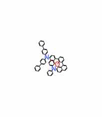 c1ccc(-c2ccc(N(c3ccc(-c4ccccc4)cc3)c3ccc(-c4cccc5c4Oc4c(N(c6ccccc6)c6ccccc6)ccc6cccc-5c46)cc3)cc2)cc1